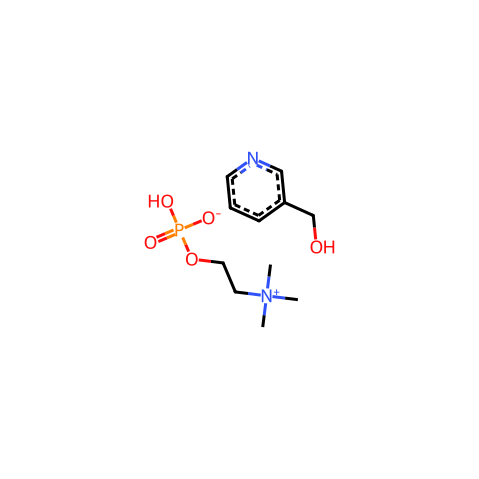 C[N+](C)(C)CCOP(=O)([O-])O.OCc1cccnc1